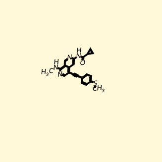 CNc1ncc(C#Cc2ccc(SC)cc2)c2cc(NC(=O)C3CC3)ncc12